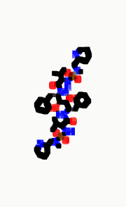 CC(C)[C@H](NS(=O)(=O)N(C)Cc1ccccn1)C(=O)N[C@@H](Cc1ccccc1)[C@H](O)[C@H](O)[C@H](Cc1ccccc1)NC(=O)[C@@H](NS(=O)(=O)N(C)Cc1ccccn1)C(C)C